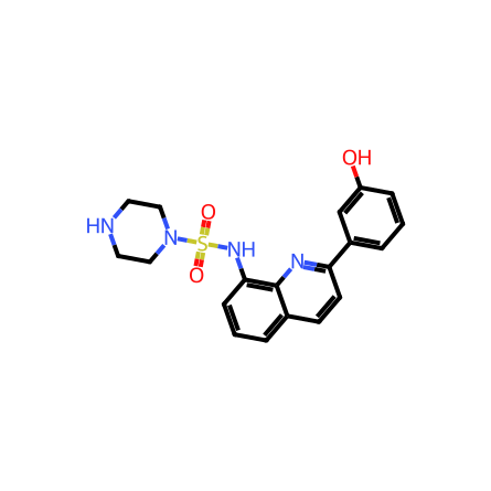 O=S(=O)(Nc1cccc2ccc(-c3cccc(O)c3)nc12)N1CCNCC1